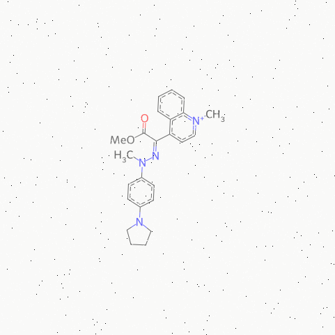 COC(=O)/C(=N\N(C)c1ccc(N2CCCC2)cc1)c1cc[n+](C)c2ccccc12